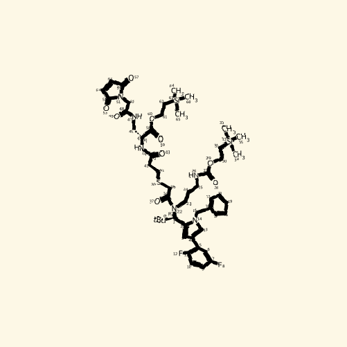 CC(C)(C)[C@H](c1cc(-c2cc(F)ccc2F)cn1Cc1ccccc1)N(CCCNC(=O)OCC[Si](C)(C)C)C(=O)CSCCC(=O)N[C@H](CNC(=O)CN1C(=O)C=CC1=O)C(=O)OCC[Si](C)(C)C